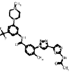 CC(=O)Nc1ncc(-c2cn(-c3cc(C(=O)Nc4cc(N5CCN(C)CC5)cc(C(F)(F)F)c4)ccc3C)nn2)s1